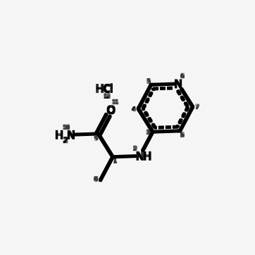 CC(Nc1ccncc1)C(N)=O.Cl